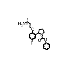 C[C@@H](N)CCOc1ccc(F)cc1C1CCCN1C(=O)Oc1ccccc1